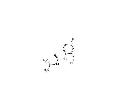 CN(C)NC(=O)Nc1ccc(Br)cc1CCl